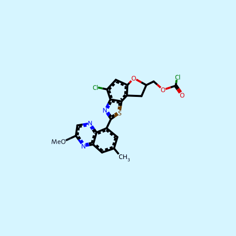 COc1cnc2c(-c3nc4c(Cl)cc5c(c4s3)CC(COC(=O)Cl)O5)cc(C)cc2n1